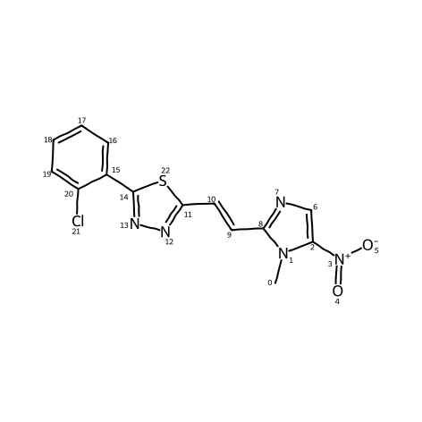 Cn1c([N+](=O)[O-])cnc1C=Cc1nnc(-c2ccccc2Cl)s1